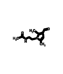 CC(=O)NCCn1c(C)cc(C=O)c1C